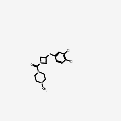 CN1CCN(C(=O)N2CC(Oc3ccc(Cl)c(Cl)c3)C2)CC1